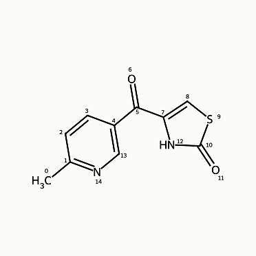 Cc1ccc(C(=O)c2csc(=O)[nH]2)cn1